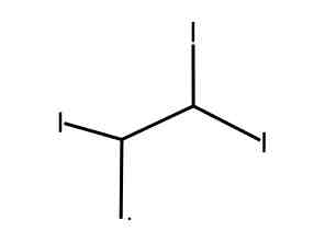 [CH2]C(I)C(I)I